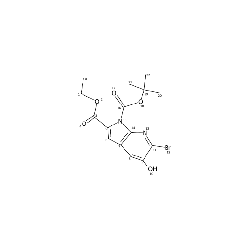 CCOC(=O)c1cc2cc(O)c(Br)nc2n1C(=O)OC(C)(C)C